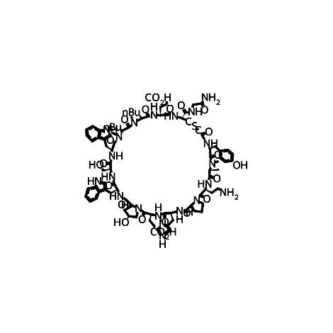 CCCC[C@H]1C(=O)N(C)[C@@H](CCCC)C(=O)N[C@@H](CCC(=O)O)C(=O)N[C@H](C(=O)NCC(N)=O)CSCC(=O)N[C@@H](Cc2ccc(O)cc2)C(=O)N(C)[C@@H](C)C(=O)N[C@@H](CCN)C(=O)N2CCC[C@H]2C(=O)N[C@@H](Cc2c[nH]cn2)C(=O)N[C@@H](CCC(=O)O)C(=O)N2C[C@H](O)C[C@H]2C(=O)N[C@@H](Cc2c[nH]c3ccccc23)C(=O)N[C@@H](CO)C(=O)N[C@@H](Cc2c[nH]c3ccccc23)C(=O)N1C